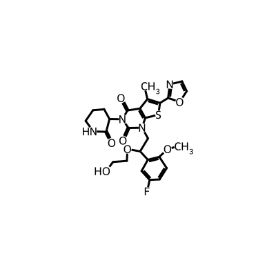 COc1ccc(F)cc1C(Cn1c(=O)n(C2CCCNC2=O)c(=O)c2c(C)c(-c3ncco3)sc21)OCCO